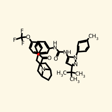 Cc1ccc(-n2nc(C(C)(C)C)cc2NC(=O)Nc2cccc(CC3CC4CCC(C3)N4CC(=O)c3ccc(OC(F)(F)F)cc3)c2)cc1